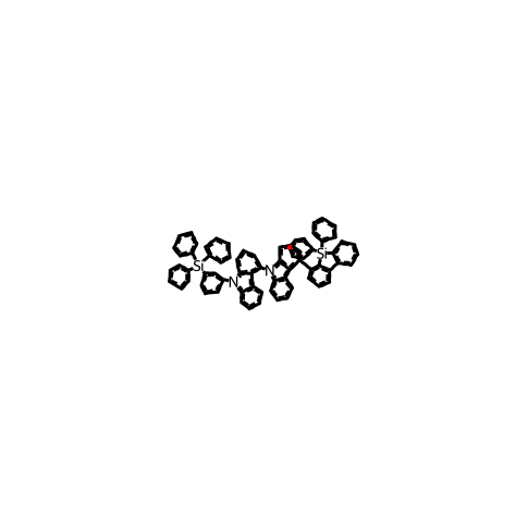 c1ccc([Si](c2ccccc2)(c2ccccc2)c2cccc(-n3c4ccccc4c4c(-n5c6ccccc6c6c(-c7cccc8c7[Si](c7ccccc7)(c7ccccc7)c7ccccc7-8)cccc65)cccc43)c2)cc1